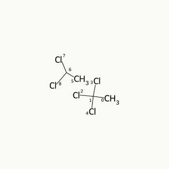 CC(Cl)(Cl)Cl.CC(Cl)Cl